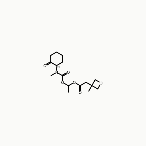 CC(OC(=O)CC1(C)COC1)OC(=O)N(C)[C@@H]1CCCCC1=O